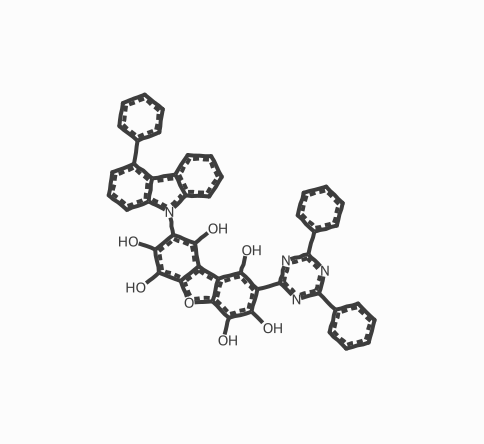 Oc1c(-c2nc(-c3ccccc3)nc(-c3ccccc3)n2)c(O)c2c(oc3c(O)c(O)c(-n4c5ccccc5c5c(-c6ccccc6)cccc54)c(O)c32)c1O